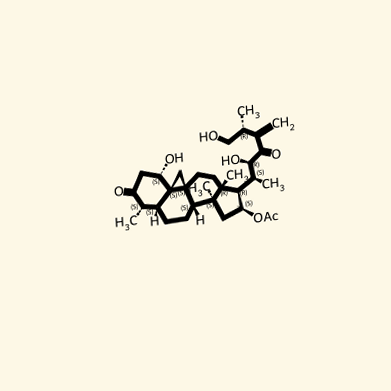 C=C(C(=O)[C@H](O)[C@@H](C)[C@H]1[C@@H](OC(C)=O)C[C@@]2(C)[C@@H]3CC[C@H]4[C@H](C)C(=O)C[C@H](O)[C@@]45C[C@@]35CC[C@]12C)[C@@H](C)CO